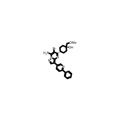 COC[C@]1(O)CC[C@H](c2nc3c(-c4ccc(-c5ccccc5)nc4)cnn3c(N)c2Br)CC1